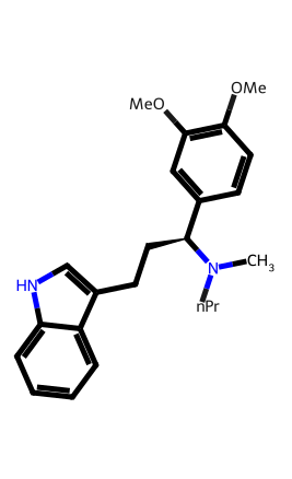 CCCN(C)[C@@H](CCc1c[nH]c2ccccc12)c1ccc(OC)c(OC)c1